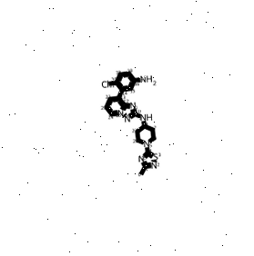 Cc1nsc(N2CCC(Nc3nc4c(-c5cc(N)ccc5Cl)cccn4n3)CC2)n1